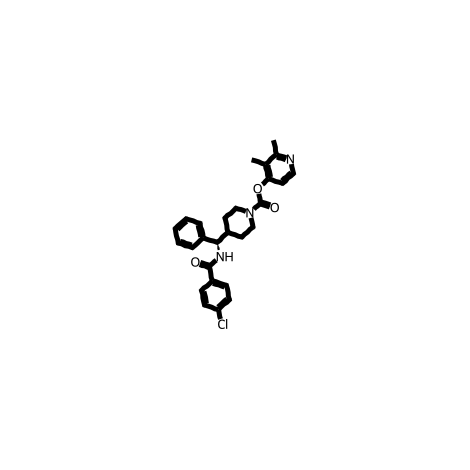 Cc1nccc(OC(=O)N2CCC([C@H](NC(=O)c3ccc(Cl)cc3)c3ccccc3)CC2)c1C